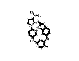 CCN(CC)C1CCN(c2ccc(Nc3ncc(C)c(Nc4ccc5oc(=O)[nH]c5c4)n3)cn2)C1